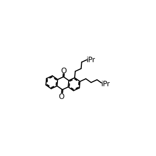 CC(C)CCCc1ccc2c(c1CCCC(C)C)C(=O)c1ccccc1C2=O